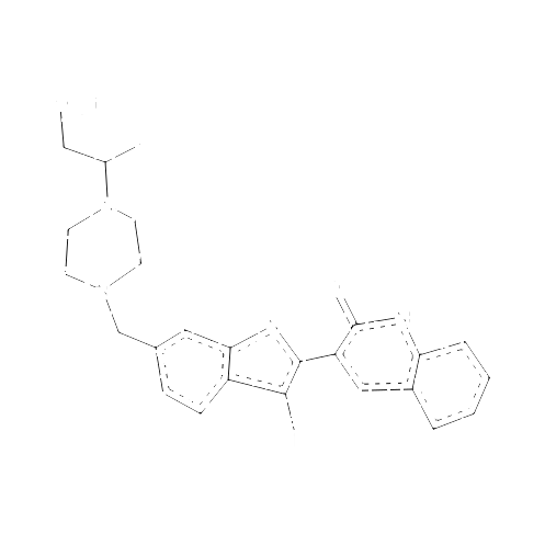 CC(CC(=O)O)N1CCN(Cc2ccc3c(F)c(-c4cc5ccccc5[nH]c4=O)[nH]c3c2)CC1